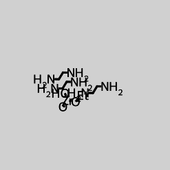 CC[O][Zr](=[O])[OH].NCCN.NCCN.NCCN